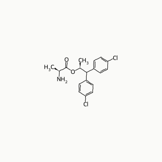 C[C@H](N)C(=O)O[C@@H](C)C(c1ccc(Cl)cc1)c1ccc(Cl)cc1